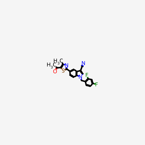 CC(=O)c1sc(-c2ccc3c(c2)c(C#N)cn3Cc2ccc(F)cc2F)nc1C